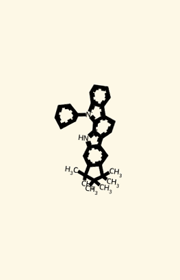 CC1(C)c2cc3[nH]c4c(ccc5c6ccccc6n(-c6ccccc6)c54)c3cc2C(C)(C)C1(C)C